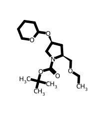 CCOC[C@@H]1C[C@H](OC2CCCCO2)CN1C(=O)OC(C)(C)C